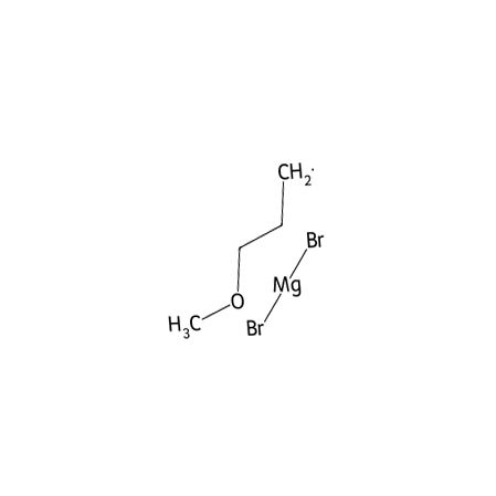 [Br][Mg][Br].[CH2]CCOC